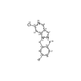 Fc1[c]c(Cn2ncc3cnc(Cl)cc32)c(F)cc1